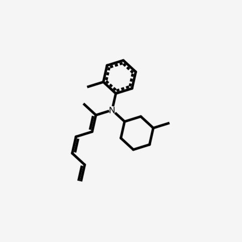 C=C/C=C\C=C(/C)N(c1ccccc1C)C1CCCC(C)C1